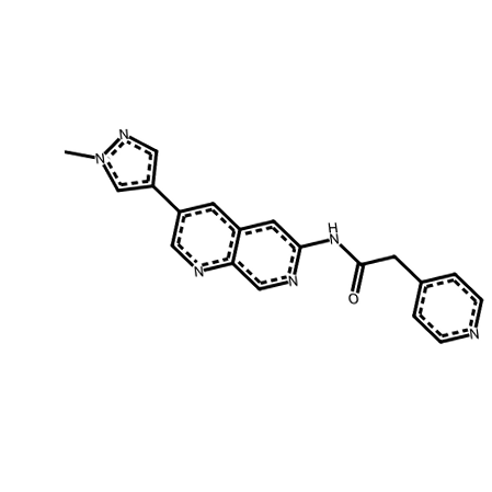 Cn1cc(-c2cnc3cnc(NC(=O)Cc4ccncc4)cc3c2)cn1